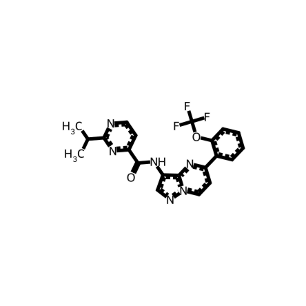 CC(C)c1nccc(C(=O)Nc2cnn3ccc(-c4ccccc4OC(F)(F)F)nc23)n1